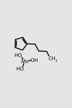 CCCCC1=CC=CC1.[OH][Mn]([OH])[OH]